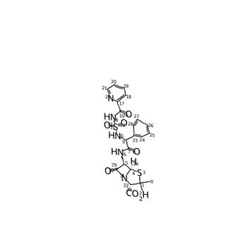 CC1(C)S[C@@H]2[C@H](NC(=O)C(NS(=O)(=O)NC(=O)c3ccccn3)c3ccccc3)C(=O)N2[C@H]1C(=O)O